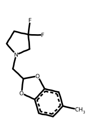 Cc1ccc2c(c1)OC(CN1CCC(F)(F)C1)O2